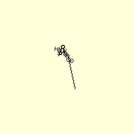 CCCCCCCCCCCCCCCCCC(=O)OCN1CCN(C2=Nc3ccccc3Nc3sc(C)cc32)CC1